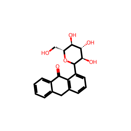 O=C1c2ccccc2Cc2cccc(C3O[C@H](CO)[C@@H](O)[C@H](O)[C@H]3O)c21